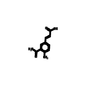 CC(=O)c1cc(C=CC(=O)O)ccc1C